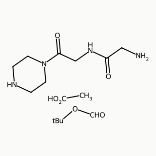 CC(=O)O.CC(C)(C)OC=O.NCC(=O)NCC(=O)N1CCNCC1